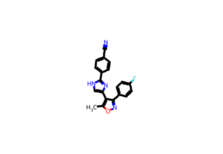 Cc1onc(-c2ccc(F)cc2)c1-c1c[nH]c(-c2ccc(C#N)cc2)n1